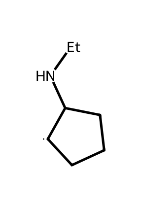 CCNC1[CH]CCC1